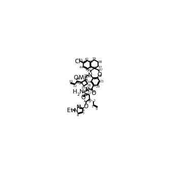 C=CC[C@H](COc1ccn(CC)n1)C[S@@](N)(=O)=NC(=O)c1ccc2c(c1)N(C[C@@H]1CC[C@H]1[C@H](C=C)OC)C[C@@]1(CCCc3cc(Cl)ccc31)CO2